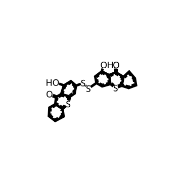 O=c1c2ccccc2sc2cc(SSc3cc(O)c4c(=O)c5ccccc5sc4c3)cc(O)c12